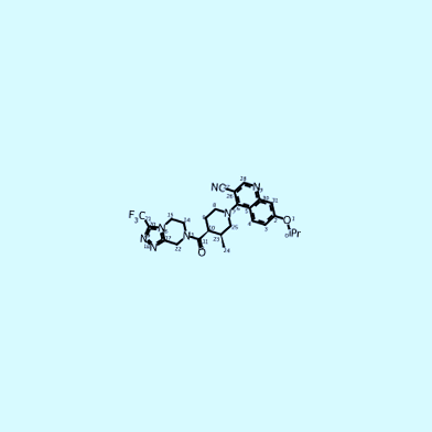 CC(C)Oc1ccc2c(N3CC[C@H](C(=O)N4CCn5c(nnc5C(F)(F)F)C4)[C@H](C)C3)c(C#N)cnc2c1